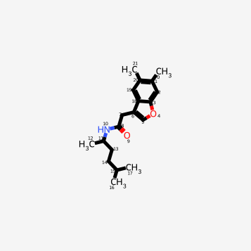 Cc1cc2occ(CC(=O)NC(C)CCC(C)C)c2cc1C